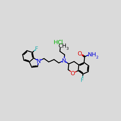 CCCN(CCCCn1ccc2cccc(F)c21)C1COc2c(F)ccc(C(N)=O)c2C1.Cl